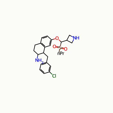 CCCS(=O)(=O)C(Oc1ccc2c(c1)C(Cc1cccc(Cl)c1)C(N)CC2)C1CNC1